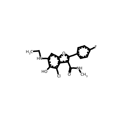 CCNc1cc2oc(-c3ccc(F)cc3)c(C(=O)NC)c2c(Cl)c1O